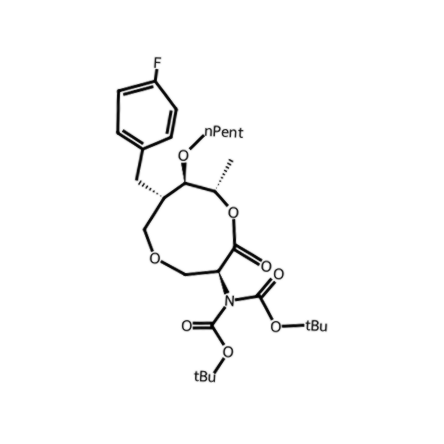 CCCCCO[C@@H]1[C@@H](Cc2ccc(F)cc2)COC[C@H](N(C(=O)OC(C)(C)C)C(=O)OC(C)(C)C)C(=O)O[C@H]1C